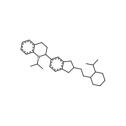 CC(C)C1CCCCC1CCC1Cc2ccc(C3CCc4ccccc4N3C(C)C)cc2C1